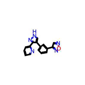 c1ccc(-c2n[nH]cc2-c2cccc(-c3cnon3)c2)nc1